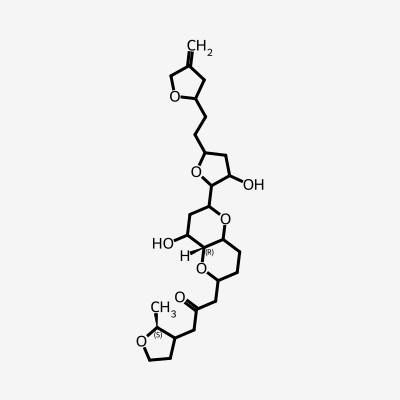 C=C1COC(CCC2CC(O)C(C3CC(O)[C@H]4OC(CC(=O)CC5CCO[C@H]5C)CCC4O3)O2)C1